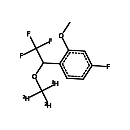 [2H]C([2H])([2H])OC(c1ccc(F)cc1OC)C(F)(F)F